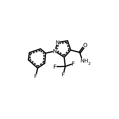 NC(=O)c1cnn(-c2cccc(F)c2)c1C(F)(F)F